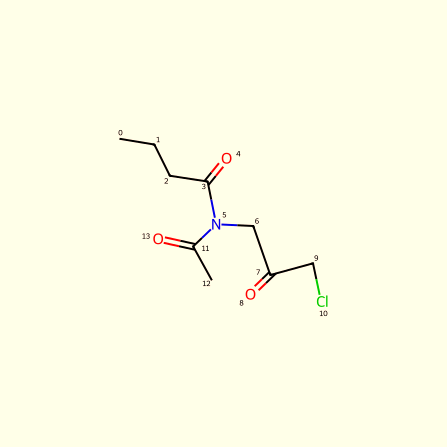 CCCC(=O)N(CC(=O)CCl)C(C)=O